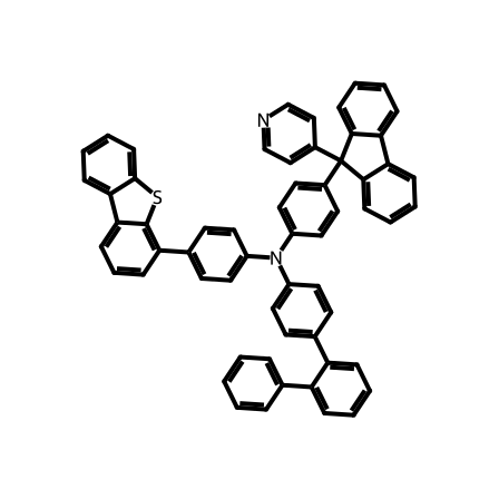 c1ccc(-c2ccccc2-c2ccc(N(c3ccc(-c4cccc5c4sc4ccccc45)cc3)c3ccc(C4(c5ccncc5)c5ccccc5-c5ccccc54)cc3)cc2)cc1